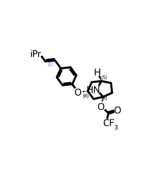 CC(C)/C=C/c1ccc(O[C@@H]2C[C@@H]3CC[C@@](OC(=O)C(F)(F)F)(C2)N3)cc1